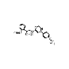 COc1ccccc1C(O)CNc1cc(-c2ccc(OC(F)(F)F)cc2)ncn1